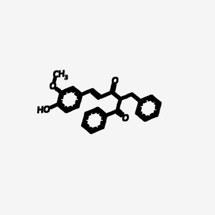 COc1cc(/C=C/C(=O)C(Cc2ccccc2)C(=O)c2ccccc2)ccc1O